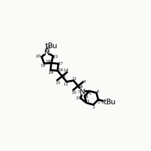 CC(C)(C)C1CC2CC(C1)N(C(C)(C)CCC(C)(C)C1CC3(CCN(C(C)(C)C)C3)C1)C2